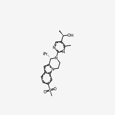 Cc1nc(N2CCn3c(cc4ccc(S(C)(=O)=O)cc43)[C@@H]2C(C)C)ncc1[C@@H](C)O